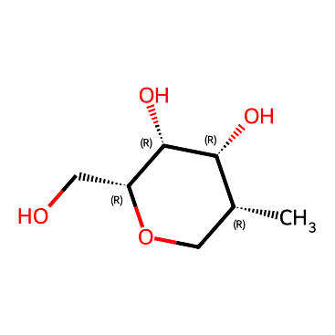 C[C@@H]1CO[C@H](CO)[C@H](O)[C@@H]1O